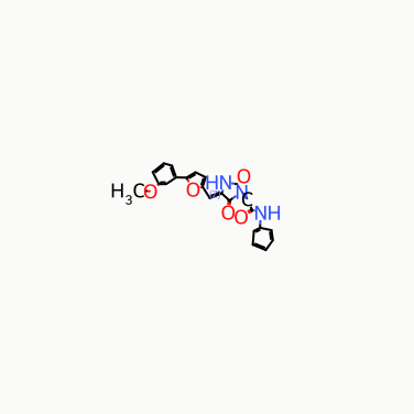 COc1cccc(-c2ccc(/C=C3\NC(=O)N(CC(=O)Nc4ccccc4)C3=O)o2)c1